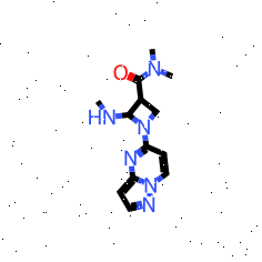 CNC1C(C(=O)N(C)C)CN1c1ccn2nccc2n1